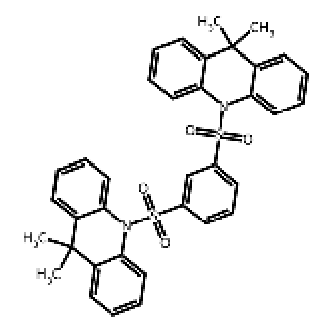 CC1(C)c2ccccc2N(S(=O)(=O)c2cccc(S(=O)(=O)N3c4ccccc4C(C)(C)c4ccccc43)c2)c2ccccc21